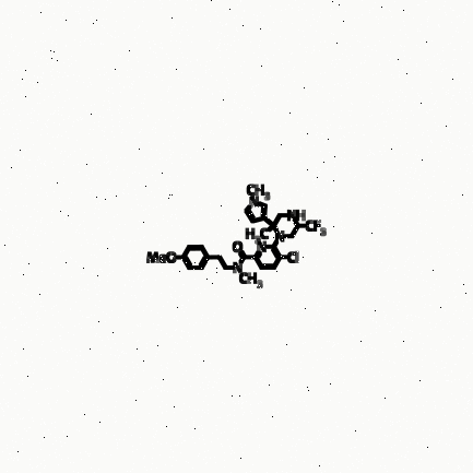 COc1ccc(CCN(C)C(=O)c2ccc(Cl)c(N3CC(C(F)(F)F)NCC3(C)c3ccn(C)c3)n2)cc1